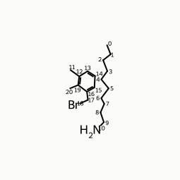 CCCCCCCCCCN.Cc1cccc(CBr)c1C